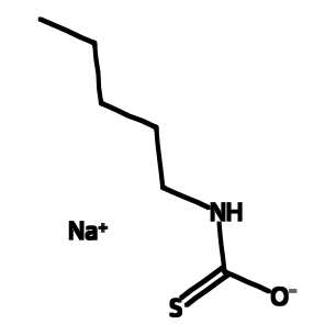 CCCCCNC([O-])=S.[Na+]